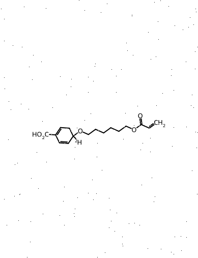 [2H]C1(OCCCCCCOC(=O)C=C)C=CC(C(=O)O)=CC1